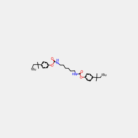 CC(C)(C)CC(C)(C)c1ccc(OC(=O)NCCCCCCNC(=O)Oc2ccc(C(C)(C)CC(C)(C)C)cc2)cc1